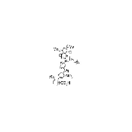 COc1cc(OC)c(Cl)c(N(COCC[Si](C)(C)C)C(=O)N(C)c2cc(Nc3ccc(C4C(C(C)(C)C)=CCCN4C(=O)O)cc3[N+](=O)[O-])ncn2)c1Cl